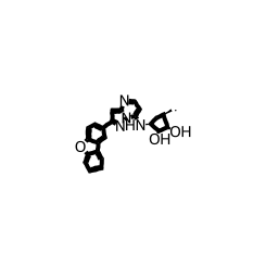 [CH2][C@@H]1C[C@@H](Nc2ccnc3cc(-c4ccc5oc6ccccc6c5c4)nn23)[C@H](O)[C@@H]1O